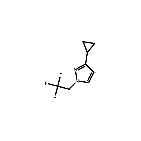 FC(F)(F)Cn1c[c]c(C2CC2)n1